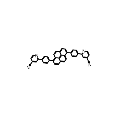 N#Cc1ccnc(-c2ccc(-c3ccc4ccc5c(-c6ccc(-c7cc(C#N)ccn7)cc6)ccc6ccc3c4c65)cc2)c1